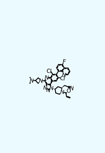 C=CC(=O)N1CC[C@H](n2nnc3c(N4CC(N(C)C)C4)nc4c(Cl)c(-c5ccc(F)c6cccnc56)c(Cl)cc4c32)C[C@H]1CC#N